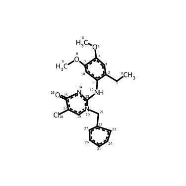 CCc1cc(OC)c(OC)cc1Nc1nc(=O)c(Cl)cn1Cc1ccccc1